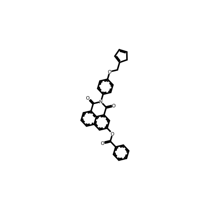 O=C(Oc1cc2c3c(cccc3c1)C(=O)N(c1ccc(OCC3=CC=CC3)cc1)C2=O)c1ccccc1